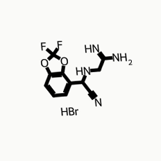 Br.N#CC(NCC(=N)N)c1cccc2c1OC(F)(F)O2